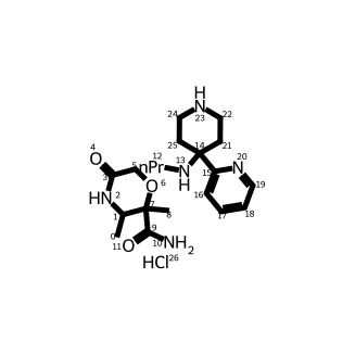 CC1NC(=O)COC1(C)C(N)=O.CCCNC1(c2ccccn2)CCNCC1.Cl